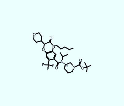 CCCCCN1C(=O)C(C2CCOCC2)Oc2cc(C(F)(F)F)c(C(=O)N(C(C)C)[C@@H]3CCCN(C(=O)OC(C)(C)C)C3)cc21